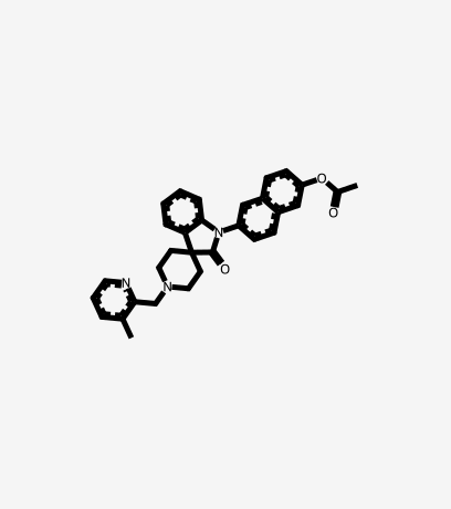 CC(=O)Oc1ccc2cc(N3C(=O)C4(CCN(Cc5ncccc5C)CC4)c4ccccc43)ccc2c1